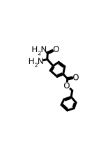 NC(=O)C(N)c1ccc(C(=O)OCc2ccccc2)cc1